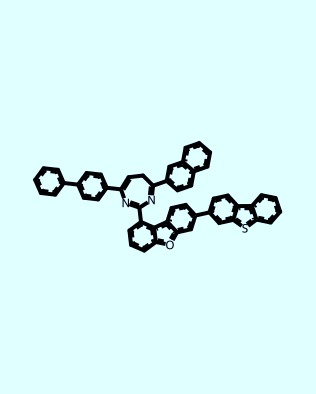 C1=C(c2ccc(-c3ccccc3)cc2)N=C(c2cccc3oc4cc(-c5ccc6c(c5)sc5ccccc56)ccc4c23)N=C(c2ccc3ccccc3c2)C1